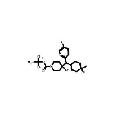 CC(C)(C)OC(=O)N1CCC(O)(C(c2ccc(Cl)cn2)C2CCC(F)(F)CC2)CC1